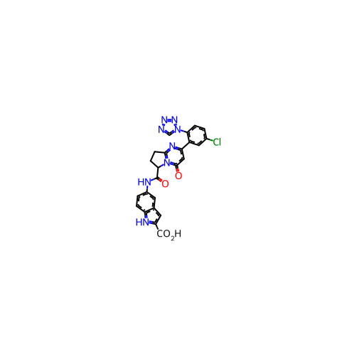 O=C(O)c1cc2cc(NC(=O)C3CCc4nc(-c5cc(Cl)ccc5-n5cnnn5)cc(=O)n43)ccc2[nH]1